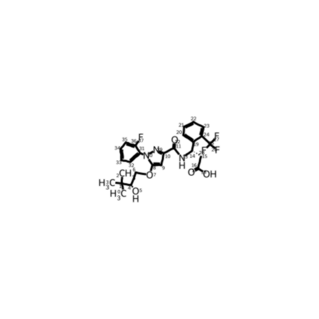 CC(C)(C)[C@@H](O)COc1cc(C(=O)N[C@@H](CC(=O)O)c2ccccc2C(F)(F)F)nn1-c1ccccc1F